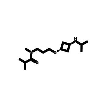 CC(C)N[C@H]1C[C@H](OCCCN(C)C(=O)C(C)C)C1